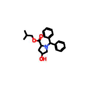 CC(C)COC(=O)C1CC(O)CN1C(c1ccccc1)c1ccccc1